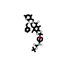 Cc1cc(C)c(CN2CCc3c(C)c4c(c(C)c3C2=O)OC(C)(C23CCC(NC(=O)OC(C)(C)C)(CC2)CC3)O4)c(OCc2ccccc2)n1